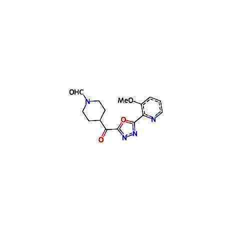 COc1cccnc1-c1nnc(C(=O)C2CCN(C=O)CC2)o1